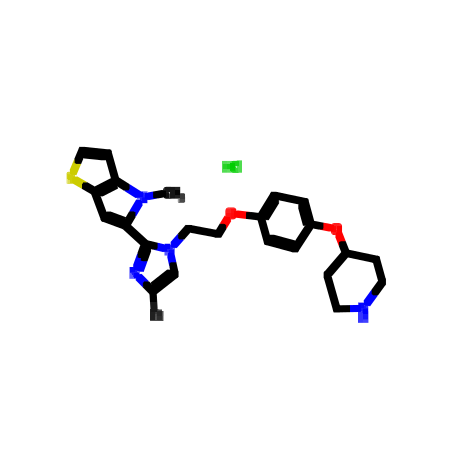 CCc1cn(CCOc2ccc(OC3CCNCC3)cc2)c(-c2cc3sccc3n2C)n1.Cl